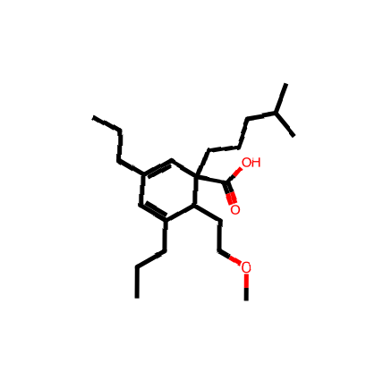 CCCC1=CC(CCCC(C)C)(C(=O)O)C(CCOC)C(CCC)=C1